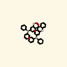 C1=CC(N(c2ccccc2)c2ccc3c(c2)Oc2ccccc2C32c3ccccc3Oc3cc(N(c4ccccc4)c4ccccc4)ccc32)=CCC1